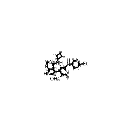 CCc1ccc(Nc2cc(-c3c[nH]c4ncnc(NC5CCC5)c34)c(C=O)c(F)n2)cn1